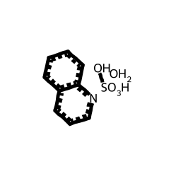 O.O=S(=O)(O)O.c1ccc2ncccc2c1